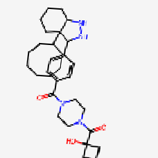 O=C(c1ccc(C2NNC3CCCCC32C2CCCCCCC2)cc1)N1CCN(C(=O)C2(O)CCC2)CC1